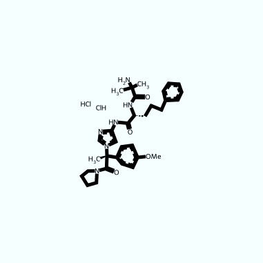 COc1ccc([C@](C)(C(=O)N2CCCC2)n2cnc(NC(=O)[C@@H](CCCc3ccccc3)NC(=O)C(C)(C)N)c2)cc1.Cl.Cl